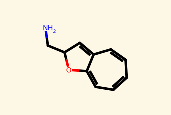 NCC1C=C2C=CC=CC=C2O1